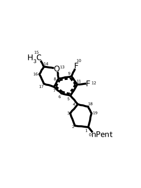 CCCCCC1CCC(c2cc3c(c(F)c2F)OC(C)CC3)CC1